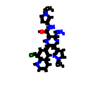 Cn1ccc(NC(=O)c2nc(-c3cc(Cl)c4ncccc4c3)c(-c3ccn(C)n3)nc2N)c1